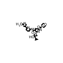 Cn1cc(-c2cccc(NC(=O)c3cc4oc(N5CCOCC5)nc4nc3N3CC(O)(C4CC4)C3)n2)cn1